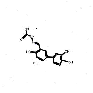 Cl.NC(=O)N/N=C/c1cc(-c2ccc(O)c(O)c2)ccc1O